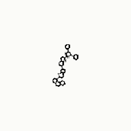 c1ccc(-c2cc(-c3ccccc3)nc(-c3ccc4ccc(-c5ccc6ccc(-c7cccc8ccc9ccccc9c78)nc6c5)cc4n3)n2)cc1